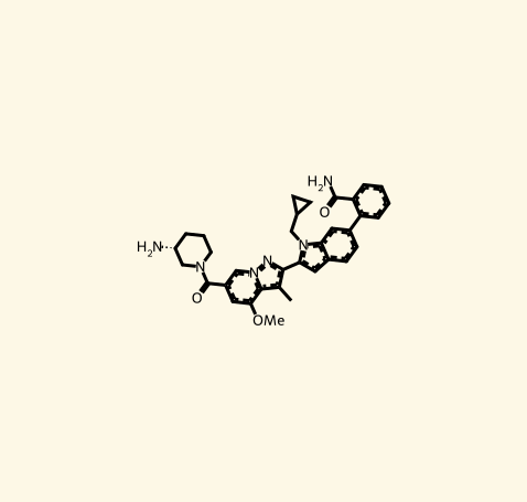 COc1cc(C(=O)N2CCC[C@@H](N)C2)cn2nc(-c3cc4ccc(-c5ccccc5C(N)=O)cc4n3CC3CC3)c(C)c12